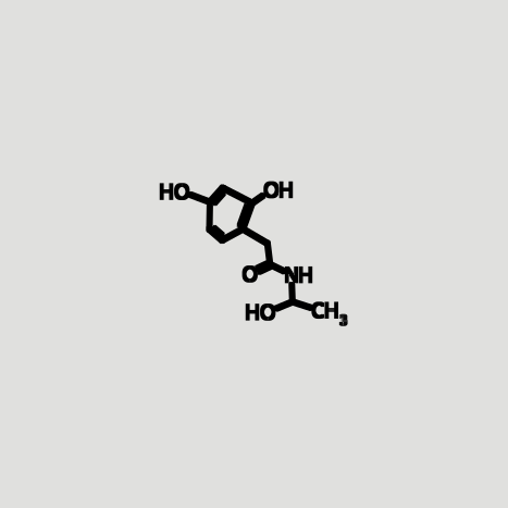 CC(O)NC(=O)Cc1ccc(O)cc1O